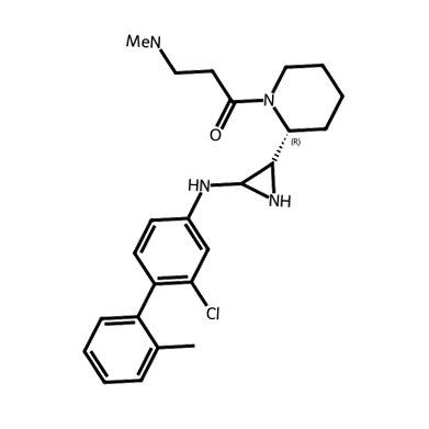 CNCCC(=O)N1CCCC[C@@H]1C1NC1Nc1ccc(-c2ccccc2C)c(Cl)c1